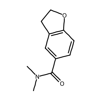 CN(C)C(=O)c1ccc2c(c1)CCO2